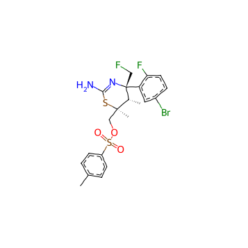 Cc1ccc(S(=O)(=O)OC[C@@]2(C)SC(N)=N[C@](CF)(c3cc(Br)ccc3F)[C@@H]2C)cc1